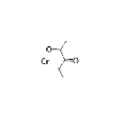 CCC(=O)C(C)=O.[Cr]